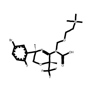 C[C@@]1(c2cc(Br)ccc2F)CO[C@@](C)(C(F)(F)F)C(N(COCC[Si](C)(C)C)C(=O)O)=N1